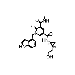 CNC(=O)c1cc(C(=O)N[C@@H]2C[C@H]2CCO)cn(Cc2cccc3[nH]ccc23)c1=O